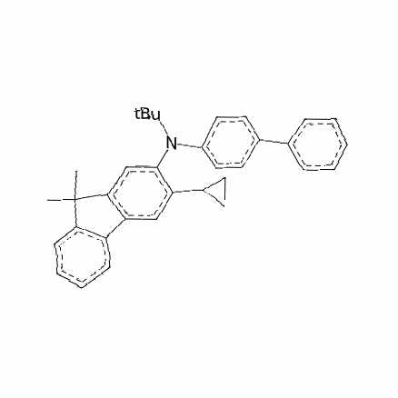 CC1(C)c2ccccc2-c2cc(C3CC3)c(N(c3ccc(-c4ccccc4)cc3)C(C)(C)C)cc21